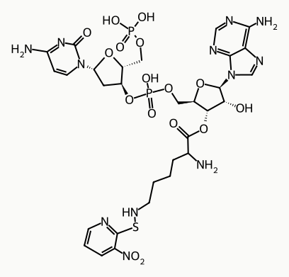 Nc1ccn([C@H]2C[C@H](OP(=O)(O)OC[C@H]3O[C@@H](n4cnc5c(N)ncnc54)[C@H](O)[C@@H]3OC(=O)C(N)CCCCNSc3ncccc3[N+](=O)[O-])[C@@H](COP(=O)(O)O)O2)c(=O)n1